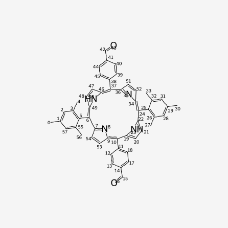 Cc1cc(C)c(-c2c3nc(c(-c4ccc(C=O)cc4)c4ccc([nH]4)c(-c4c(C)cc(C)cc4C)c4nc(c(-c5ccc(C=O)cc5)c5ccc2[nH]5)C=C4)C=C3)c(C)c1